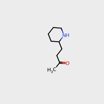 CC(=O)CCC1CCCCN1